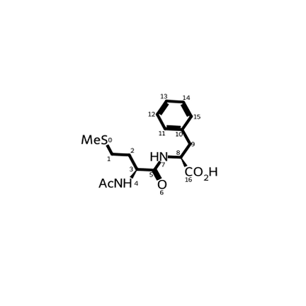 CSCC[C@H](NC(C)=O)C(=O)N[C@@H](Cc1ccccc1)C(=O)O